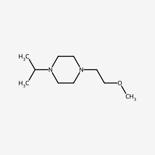 COCCN1CCN(C(C)C)CC1